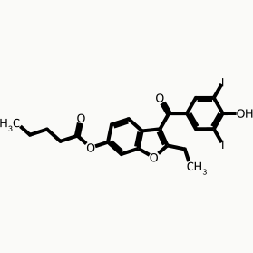 CCCCC(=O)Oc1ccc2c(C(=O)c3cc(I)c(O)c(I)c3)c(CC)oc2c1